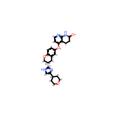 O=C1CCc2c(Oc3ccc4c(c3)C[C@H](c3nc(C5CCOCC5)c[nH]3)CO4)ccnc2N1